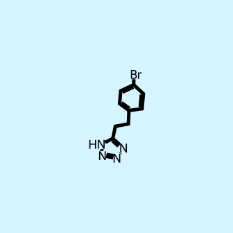 Brc1ccc(CCc2nnn[nH]2)cc1